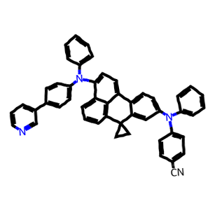 N#Cc1ccc(N(c2ccccc2)c2ccc3c(c2)C2(CC2)c2cccc4c(N(c5ccccc5)c5ccc(-c6cccnc6)cc5)ccc-3c24)cc1